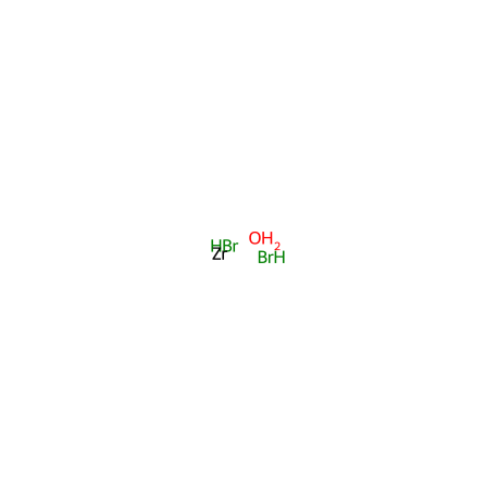 Br.Br.O.[Zr]